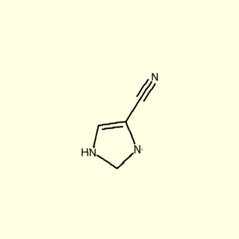 N#CC1=CNC[N]1